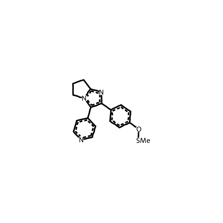 CSOc1ccc(-c2nc3n(c2-c2ccncc2)CCC3)cc1